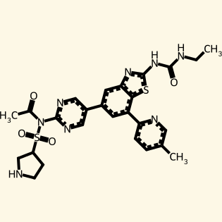 CCNC(=O)Nc1nc2cc(-c3cnc(N(C(C)=O)S(=O)(=O)C4CCNC4)nc3)cc(-c3ccc(C)cn3)c2s1